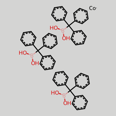 OB(O)C(c1ccccc1)(c1ccccc1)c1ccccc1.OB(O)C(c1ccccc1)(c1ccccc1)c1ccccc1.OB(O)C(c1ccccc1)(c1ccccc1)c1ccccc1.[Co]